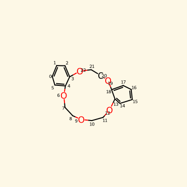 c1ccc2c(c1)OCCOCCOc1ccccc1OCCO2